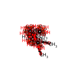 COCCOCCO[C@@H]1[C@@H](OC)[C@@H](OCCC(CCOC2[C@@H](OC)[C@H](OP(=O)(O)O)[C@@H](OP(=O)(O)O)[C@H](OP(=O)(O)O)[C@H]2OC)(CCO[C@H]2[C@@H](OC)[C@H](OP(=O)(O)O)[C@@H](OP(=O)(O)O)[C@H](OP(=O)(O)O)[C@H]2OP(=O)(O)O)CCO[C@H]2[C@@H](OP(=O)(O)O)[C@H](OC)[C@@H](OC)[C@H](OP(=O)(O)O)[C@H]2OP(=O)(O)O)[C@@H](OC)[C@H](OCCOCCOC)[C@H]1OP(=O)(O)O